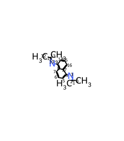 CC(C)=Nc1cccc2c(N=C(C)C)cccc12